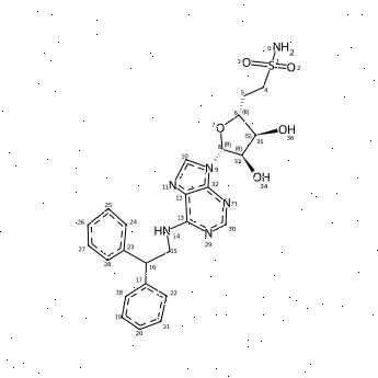 NS(=O)(=O)CC[C@H]1O[C@@H](n2cnc3c(NCC(c4ccccc4)c4ccccc4)ncnc32)[C@H](O)[C@@H]1O